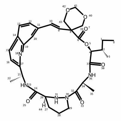 CC[C@H](C)[C@@H]1OC(=O)C2(/C=C/c3ccc4ccc(nc4c3)[C@@H](C)NC(=O)[C@@H]3CCCN(N3)C(=O)[C@H](C)NC1=O)COCOC2